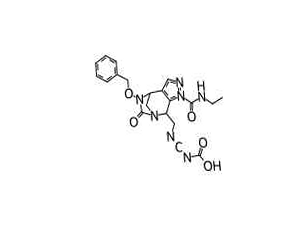 CCNC(=O)n1ncc2c1C(CN=C=NC(=O)O)N1CC2N(OCc2ccccc2)C1=O